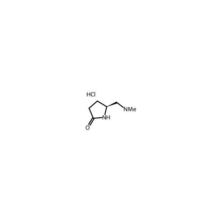 CNC[C@@H]1CCC(=O)N1.Cl